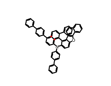 c1ccc(-c2ccc(-c3ccc(N(c4ccc(-c5ccccc5)cc4)c4ccc5oc6c7ccccc7ccc6c5c4-c4ccccc4-c4ccccc4)cc3)cc2)cc1